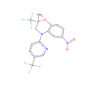 CC1(C(F)(F)F)CN(c2ccc(C(F)(F)F)cn2)c2cc([N+](=O)[O-])ccc2O1